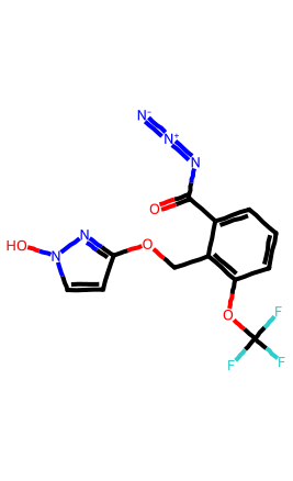 [N-]=[N+]=NC(=O)c1cccc(OC(F)(F)F)c1COc1ccn(O)n1